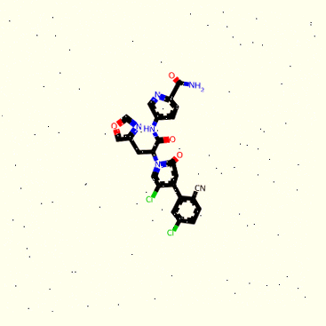 N#Cc1ccc(Cl)cc1-c1cc(=O)n(C(Cc2cocn2)C(=O)Nc2ccc(C(N)=O)nc2)cc1Cl